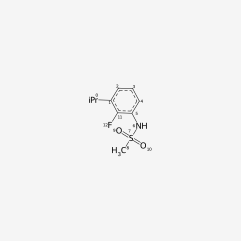 CC(C)c1cccc(NS(C)(=O)=O)c1F